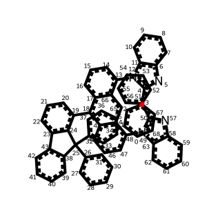 c1ccc(-c2nc3ccccc3n2-c2cccc3c(-c4cccc5c4C(c4ccccc4)(c4ccccc4)c4ccccc4-5)c4cccc(-n5c(-c6ccccc6)nc6ccccc65)c4cc23)cc1